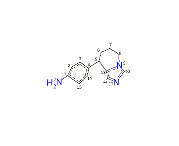 Nc1ccc(C2CCCn3cncc32)cc1